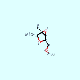 CCCCOC[C@H]1O[C@H](OC)[C@H]2OC12